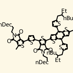 CCCCCCCCCCCCN1C(=O)c2c(C)sc(-c3ccc(-c4sc(-c5cc6c(-c7ccc(CC(CC)CCCC)s7)c7sc(C)cc7c(-c7ccc(CC(CC)CCCC)s7)c6s5)c5c4C(=O)N(CCCCCCCCCCCC)C5=O)s3)c2C1=O